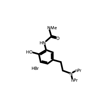 Br.CCCN(CCC)CCc1ccc(O)c(NC(=O)NC)c1